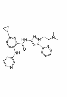 CN(C)CCn1nc(NC(=O)c2nc(C3CC3)ccc2Nc2cncnc2)cc1-c1ccccn1